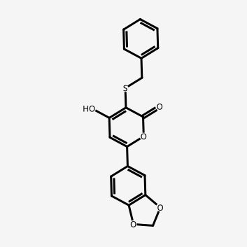 O=c1oc(-c2ccc3c(c2)OCO3)cc(O)c1SCc1ccccc1